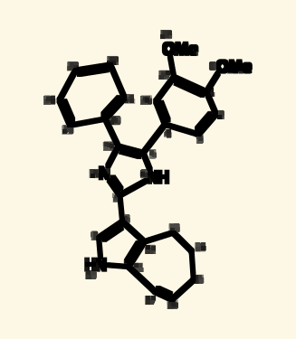 COc1ccc(-c2[nH]c(-c3c[nH]c4c3CCCC=C4)nc2-c2ccccc2)cc1OC